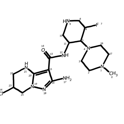 CN1CCN(C2C(F)CNCC2NC(=O)c2c(N)nn3c2NCC(Cl)C3)CC1